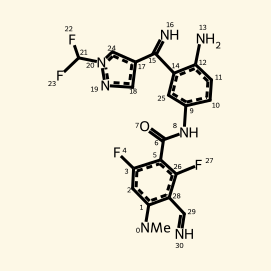 CNc1cc(F)c(C(=O)Nc2ccc(N)c(C(=N)c3cnn(C(F)F)c3)c2)c(F)c1C=N